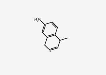 CN1C=NCc2cc(N)ccc21